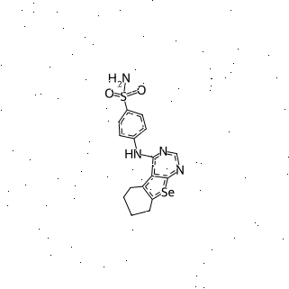 NS(=O)(=O)c1ccc(Nc2ncnc3[se]c4c(c23)CCCC4)cc1